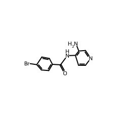 Nc1cnccc1NC(=O)c1ccc(Br)cc1